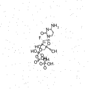 C#C[C@]1(COP(=O)(O)OP(=O)(O)OP(=O)(O)O)O[C@@H](n2ccc(N)nc2=O)[C@@H](F)[C@@H]1O